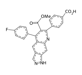 COC(=O)c1c(-c2ccc(C(=O)O)cc2)nc2cc3[nH]ncc3cc2c1-c1ccc(F)cc1